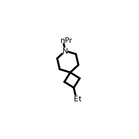 CCCN1CCC2(CC1)CC(CC)C2